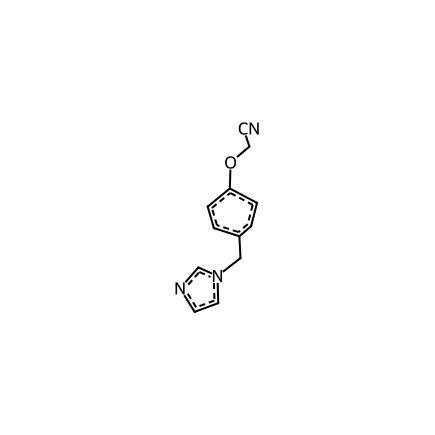 N#CCOc1ccc(Cn2ccnc2)cc1